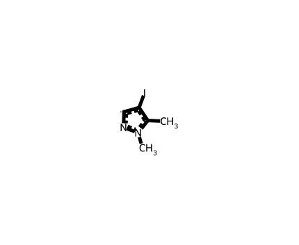 Cc1c(I)[c]nn1C